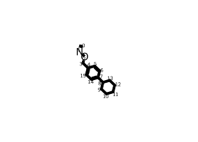 C=NOCc1ccc(C2CCCCC2)cc1